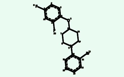 Fc1ccc(OC2CCN(c3cnccc3Br)CC2)c(F)c1